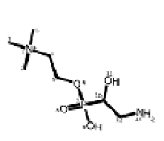 C[N+](C)(C)CCOP(=O)(O)C(O)CN